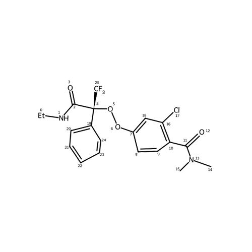 CCNC(=O)[C@](OOc1ccc(C(=O)N(C)C)c(Cl)c1)(c1ccccc1)C(F)(F)F